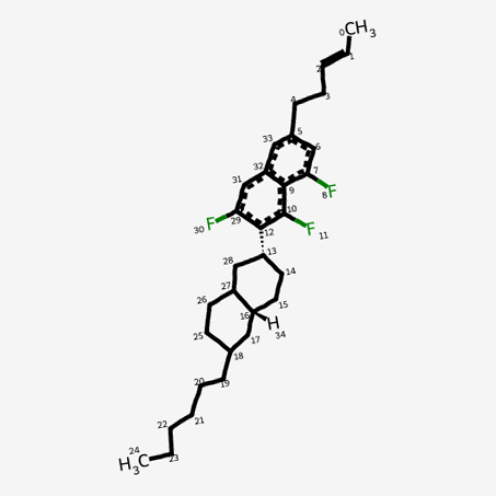 C/C=C/CCc1cc(F)c2c(F)c([C@@H]3CC[C@@H]4CC(CCCCCC)CCC4C3)c(F)cc2c1